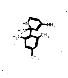 Cc1cc(C)c(C2(N)C=C(N)C=CN2)c(C)c1